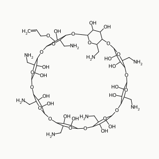 C=CCOC1C2OC(CN)C(OC3OC(CN)C(OC4OC(CN)C(OC5OC(CN)C(OC6OC(CN)C(OC7OC(CN)C(OC8OC(CN)C(OC9OC(CN)C(O2)C(O)C9O)C(O)C8O)C(O)C7O)C(O)C6O)C(O)C5O)C(O)C4O)C(O)C3O)C1O